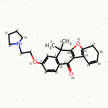 CC1(C)c2cc(OCCN3CCCC3)ccc2C(=O)c2c1oc1c2C=CCC1